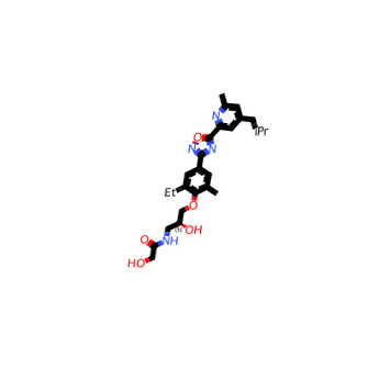 CCc1cc(-c2noc(-c3cc(CC(C)C)cc(C)n3)n2)cc(C)c1OC[C@@H](O)CNC(=O)CO